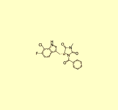 CN1C(=O)[C@@H](Cc2c[nH]c3c(Cl)c(F)ccc23)N(C(=O)c2ccccc2)C1=O